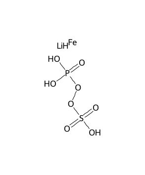 O=P(O)(O)OOS(=O)(=O)O.[Fe].[LiH]